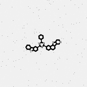 c1ccc(-c2nc(-c3ccc4oc5ccccc5c4c3)nc(-c3ccc4ccc5c6cnccc6sc5c4c3)n2)cc1